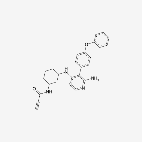 C#CC(=O)NC1CCCC(Nc2ncnc(N)c2-c2ccc(Oc3ccccc3)cc2)C1